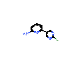 Nc1cccc(-c2cnc(Cl)nc2)n1